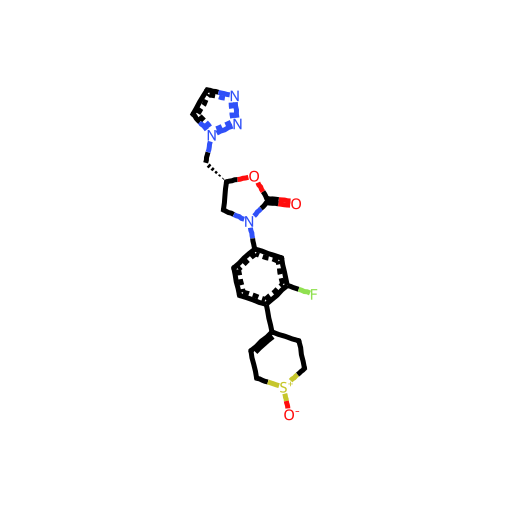 O=C1O[C@@H](Cn2ccnn2)CN1c1ccc(C2=CC[S+]([O-])CC2)c(F)c1